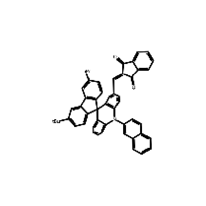 CC(C)c1ccc2c(c1)-c1cc(C(C)(C)C)ccc1C21c2ccccc2N(c2ccc3ccccc3c2)c2ccc(C=C3C(=O)c4ccccc4C3=O)cc21